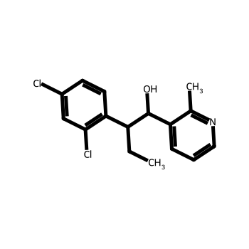 CCC(c1ccc(Cl)cc1Cl)C(O)c1cccnc1C